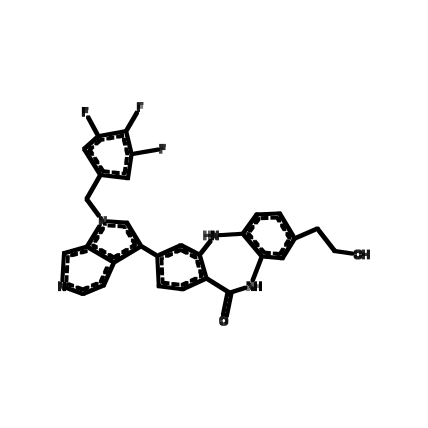 O=C1Nc2cc(CCO)ccc2Nc2cc(-c3cn(Cc4cc(F)c(F)c(F)c4)c4cnccc34)ccc21